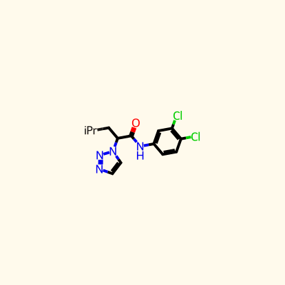 CC(C)CC(C(=O)Nc1ccc(Cl)c(Cl)c1)n1ccnn1